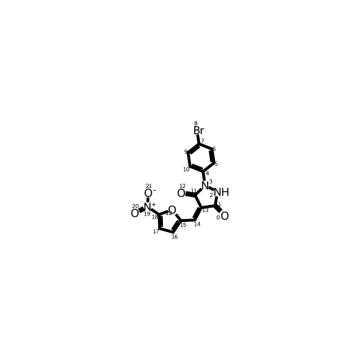 O=C1NN(c2ccc(Br)cc2)C(=O)/C1=C\c1ccc([N+](=O)[O-])o1